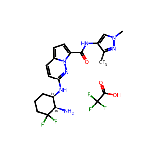 Cn1cc(NC(=O)c2ccc3ccc(N[C@@H]4CCCC(F)(F)[C@@H]4N)nn23)c(C(F)(F)F)n1.O=C(O)C(F)(F)F